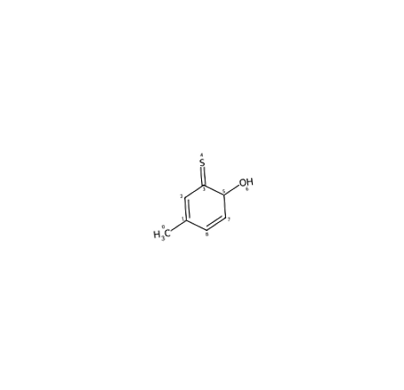 CC1=CC(=S)C(O)C=C1